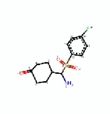 NC(C1CCC(=O)CC1)S(=O)(=O)c1ccc(F)cc1